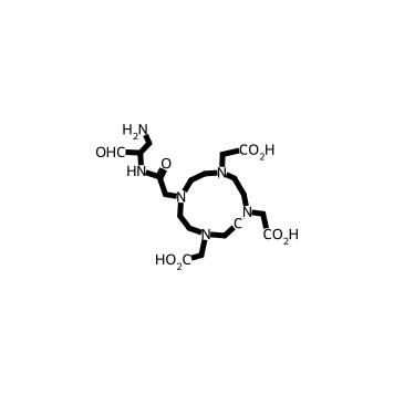 NCC(C=O)NC(=O)CN1CCN(CC(=O)O)CCN(CC(=O)O)CCN(CC(=O)O)CC1